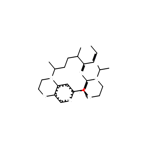 C/C=C\C(=NC1=C(N)NCCN1C(C)C)C(C)CCC(C)N1CCNc2cnc(CC)cc21